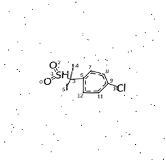 O=[SH](=O)C(I)(I)c1ccc(Cl)cc1